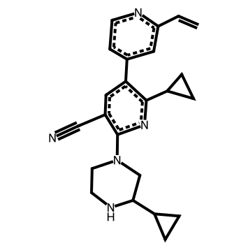 C=Cc1cc(-c2cc(C#N)c(N3CCNC(C4CC4)C3)nc2C2CC2)ccn1